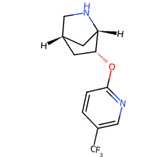 FC(F)(F)c1ccc(O[C@@H]2C[C@@H]3CN[C@H]2C3)nc1